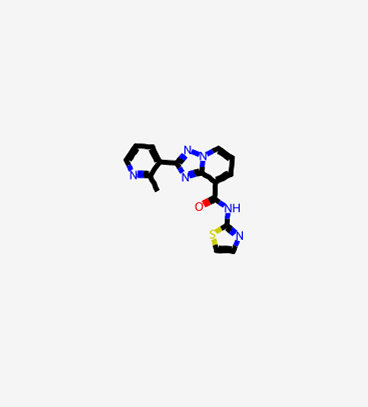 Cc1ncccc1-c1nc2c(C(=O)Nc3nccs3)cccn2n1